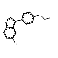 Bc1ccc2occ(-c3ccc(OCC)cc3)c2c1